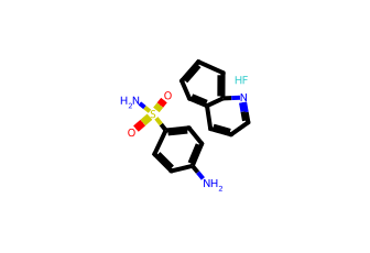 F.Nc1ccc(S(N)(=O)=O)cc1.c1ccc2ncccc2c1